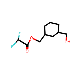 O=C(OCC1CCCC(CO)C1)C(F)F